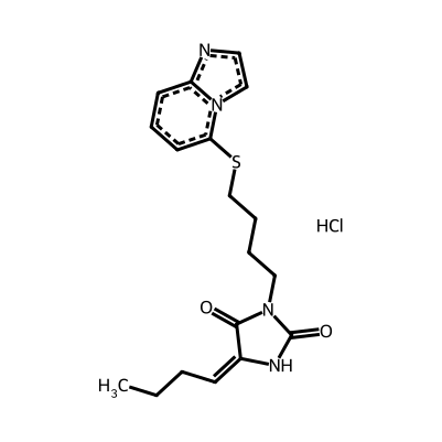 CCCC=C1NC(=O)N(CCCCSc2cccc3nccn23)C1=O.Cl